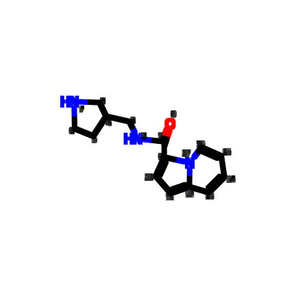 O=C(NCC1CCNC1)c1ccc2ccccn12